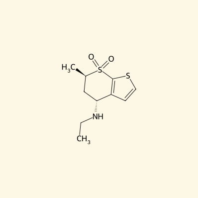 CCN[C@@H]1C[C@@H](C)S(=O)(=O)c2sccc21